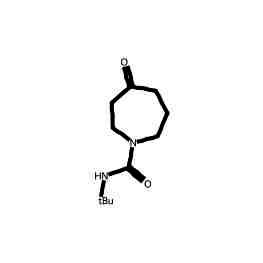 CC(C)(C)NC(=O)N1CCCC(=O)CC1